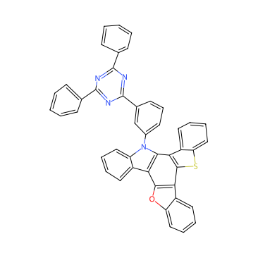 c1ccc(-c2nc(-c3ccccc3)nc(-c3cccc(-n4c5ccccc5c5c6oc7ccccc7c6c6sc7ccccc7c6c54)c3)n2)cc1